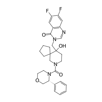 O=C(N1CCC(O)(Cn2cnc3cc(F)c(F)cc3c2=O)C2(CCCC2)C1)N1CCOC[C@H]1c1ccccc1